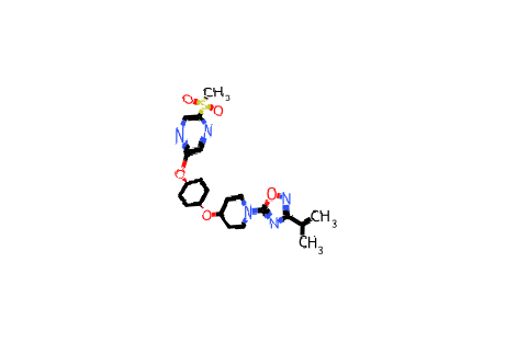 CC(C)c1noc(N2CCC(O[C@H]3CC[C@H](Oc4cnc(S(C)(=O)=O)cn4)CC3)CC2)n1